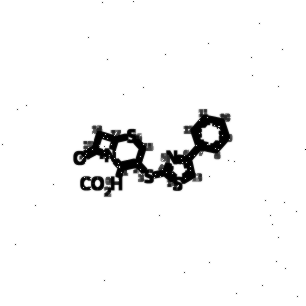 O=C(O)C1=C(Sc2nc(-c3ccccc3)cs2)CSC2CC(=O)N12